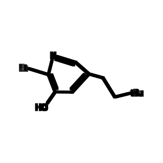 CCc1ncc(CCC(C)(C)C)cc1O